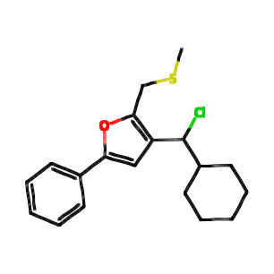 CSCc1oc(-c2ccccc2)cc1C(Cl)C1CCCCC1